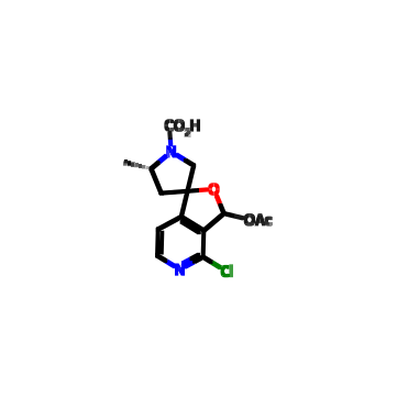 CC(=O)OC1OC2(C[C@H](C)N(C(=O)O)C2)c2ccnc(Cl)c21